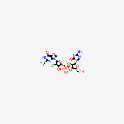 Cc1nc2c(ncn2[C@@H]2O[C@H](COP(=O)(O)O[C@@H]3C(Cl)[C@H](n4cnc(N)nc4=O)O[C@@H]3CO)[C@H](O)C2Cl)c(=O)[nH]1